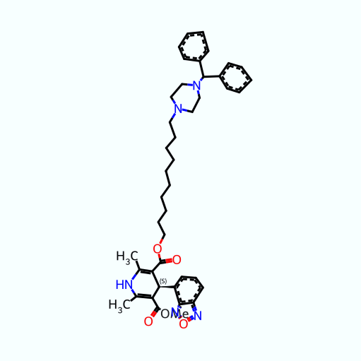 COC(=O)C1=C(C)NC(C)=C(C(=O)OCCCCCCCCCCN2CCN(C(c3ccccc3)c3ccccc3)CC2)[C@H]1c1cccc2nonc12